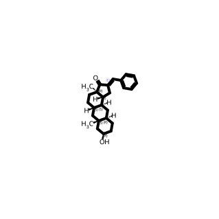 C[C@]12C[C@H](O)CC[C@@H]1C[C@H]1[C@@H](CC[C@@]3(C)C(=O)/C(=C/c4ccccc4)C[C@H]13)C2